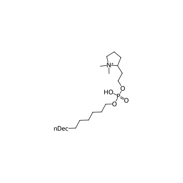 CCCCCCCCCCCCCCCCOP(=O)(O)OCCC1CCC[N+]1(C)C